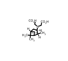 C[C@@H]1C2C[C@@H](C[C@H]1N(CC(=O)O)CC(=O)O)C2(C)C